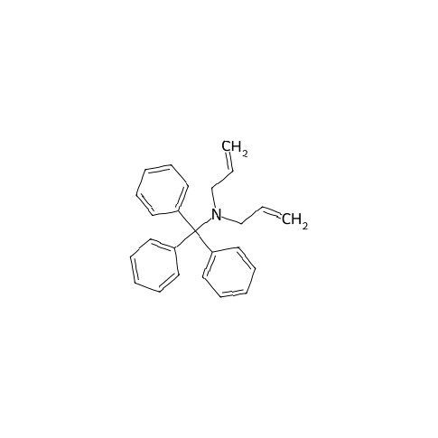 C=CCN(CC=C)C(c1ccccc1)(c1ccccc1)c1ccccc1